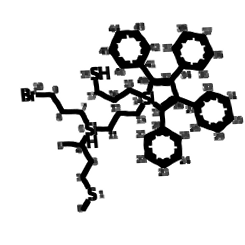 CSCCC(C)[SiH](CCCBr)CCC[Si]1(CCCS)C(c2ccccc2)=C(c2ccccc2)C(c2ccccc2)=C1c1ccccc1